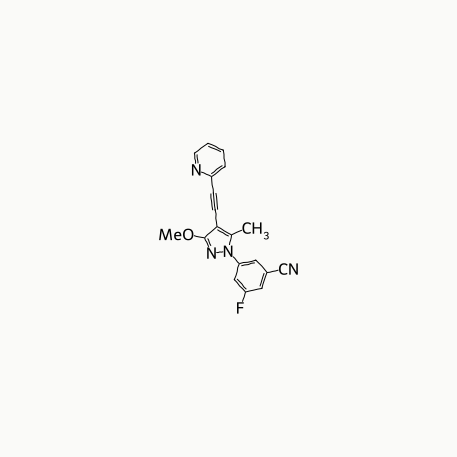 COc1nn(-c2cc(F)cc(C#N)c2)c(C)c1C#Cc1ccccn1